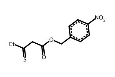 CCC(=S)CC(=O)OCc1ccc([N+](=O)[O-])cc1